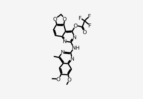 COc1cc2nc(Nc3nc(OC(=O)C(F)(F)F)c4c5c(ccc4n3)OCO5)nc(C)c2cc1OC